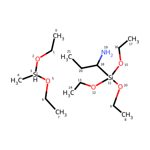 CCO[SiH](C)OCC.CCO[Si](OCC)(OCC)C(N)CC